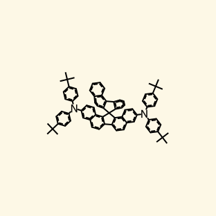 CC(C)(C)c1ccc(N(c2ccc(C(C)(C)C)cc2)c2ccc3c4c(ccc3c2)-c2ccc3cc(N(c5ccc(C(C)(C)C)cc5)c5ccc(C(C)(C)C)cc5)ccc3c2C42c3ccccc3-c3c2ccc2ccccc32)cc1